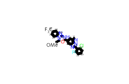 COCCn1c(NC(=O)c2cc(C)c3[nH]c(-c4c(F)cccc4Cl)nc3c2)nc2cc(C(F)(F)F)ccc21